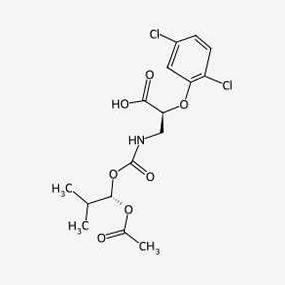 CC(=O)O[C@@H](OC(=O)NC[C@H](Oc1cc(Cl)ccc1Cl)C(=O)O)C(C)C